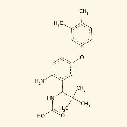 Cc1ccc(Oc2ccc(N)c(C(NC(=O)O)C(C)(C)C)c2)cc1C